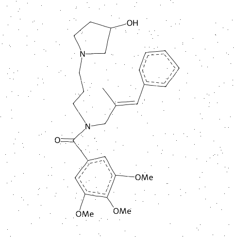 COc1cc(C(=O)N(CCCN2CCC(O)C2)C/C(C)=C/c2ccccc2)cc(OC)c1OC